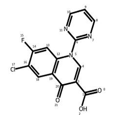 O=C(O)c1cn(-c2ncccn2)c2cc(F)c(Cl)cc2c1=O